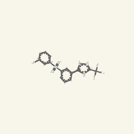 O=S(=O)(c1[c]ccc(-c2noc(C(F)(F)F)n2)c1)c1cccc(F)c1